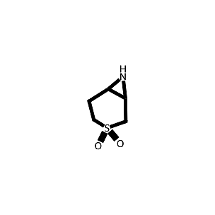 O=S1(=O)CCC2NC2C1